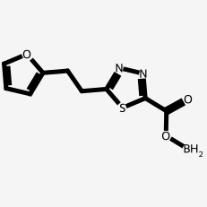 BOC(=O)c1nnc(CCc2ccco2)s1